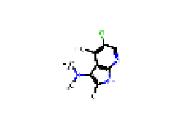 Cc1[nH]c2ncc(Cl)c(C)c2c1N(C)C